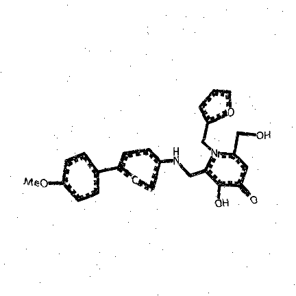 COc1ccc(-c2ccc(NCc3c(O)c(=O)cc(CO)n3Cc3ccco3)cc2)cc1